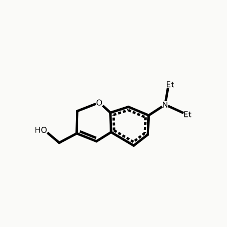 CCN(CC)c1ccc2c(c1)OCC(CO)=C2